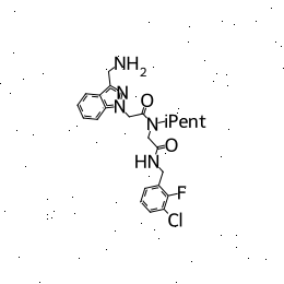 CCCC(C)N(CC(=O)NCc1cccc(Cl)c1F)C(=O)Cn1nc(CN)c2ccccc21